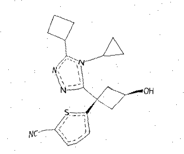 N#Cc1ccc([C@]2(c3nnc(C4CCC4)n3C3CC3)C[C@H](O)C2)s1